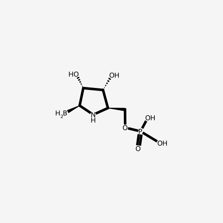 B[C@@H]1N[C@H](COP(=O)(O)O)[C@@H](O)[C@H]1O